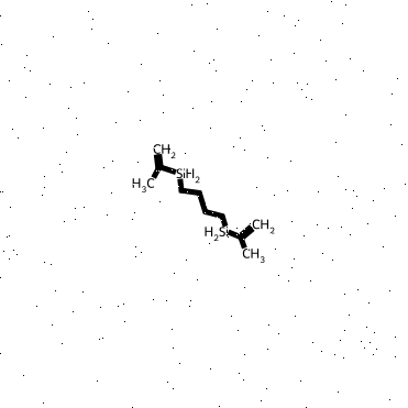 C=C(C)[SiH2]CCCC[SiH2]C(=C)C